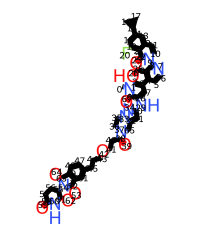 Cn1cc(-c2ccnc(-n3ccc4cc(C5CC5)cc(F)c4c3=O)c2CO)cc(Nc2cc3n(n2)CCN(C(=O)CCOCCCc2ccc4c(c2)C(=O)N(C2CCC(=O)NC2=O)C4=O)C3)c1=O